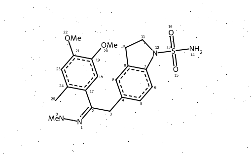 CN/N=C(/Cc1ccc2c(c1)CCN2S(N)(=O)=O)c1cc(OC)c(OC)cc1C